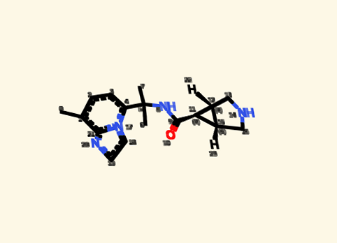 Cc1ccc(C(C)(C)NC(=O)[C@H]2[C@@H]3CNC[C@@H]32)n2ccnc12